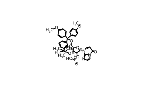 COc1ccc(C(OC[C@H]2O[C@@H](n3ccc(=O)n4ccnc34)[C@H](O[PH](=O)O)[C@@H]2O[Si](C)(C)C(C)(C)C)(c2ccccc2)c2ccc(OC)cc2)cc1